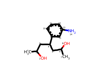 CC(O)CC(CC(C)O)c1cccc(N)c1